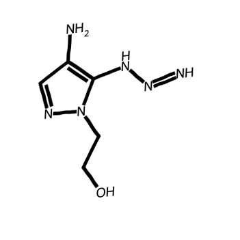 N=NNc1c(N)cnn1CCO